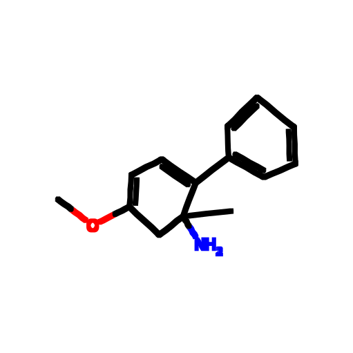 COC1=CC=C(c2ccccc2)C(C)(N)C1